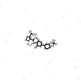 [2H]C([2H])([2H])Oc1cccc(-c2cc(F)c(N(C)C(=O)C3=C(C(=O)O)CCC3)c(F)c2)c1